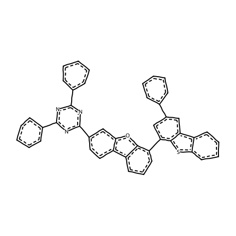 c1ccc(-c2cc(-c3cccc4c3oc3cc(-c5nc(-c6ccccc6)nc(-c6ccccc6)n5)ccc34)c3sc4ccccc4c3c2)cc1